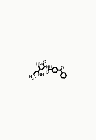 N=C(/C=C\N)c1c[nH]c(=O)c(NC(=O)c2ccc(C(=O)c3ccccc3)cc2)c1